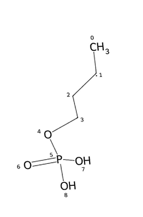 C[CH]CCOP(=O)(O)O